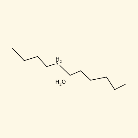 CCCCCC[SiH2]CCCC.O